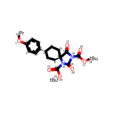 CC(C)Oc1ccc([C@H]2CC[C@@]3(CC2)C(=O)N(C(=O)OC(C)(C)C)C(=O)N3C(=O)OC(C)(C)C)cc1